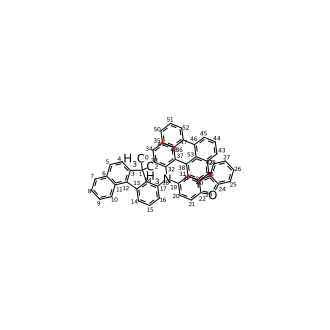 CC1(C)c2ccc3ccccc3c2-c2cccc(N(c3ccc4oc5ccccc5c4c3)c3ccccc3-c3cccc4cccc(-c5ccccc5)c34)c21